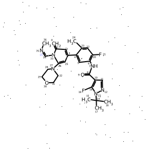 C=C1C=C(c2cc(NC(=O)c3cnn(C(C)(C)C)c3F)c(F)cc2C)C=C(N2CCOCC2)N1/C=N\C